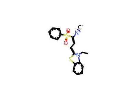 [C-]#[N+]/C(=C/C=C1/Sc2ccccc2N1CC)S(=O)(=O)c1ccccc1